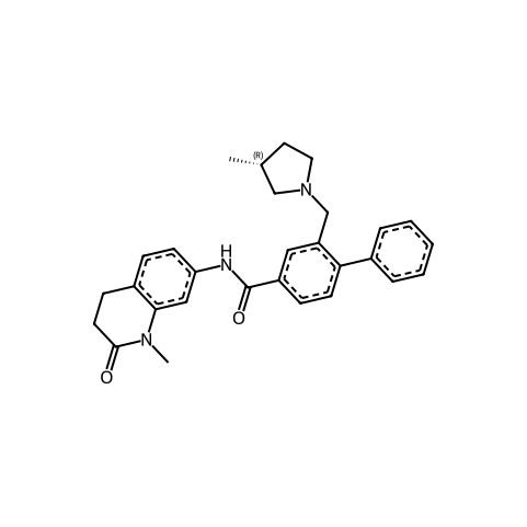 C[C@@H]1CCN(Cc2cc(C(=O)Nc3ccc4c(c3)N(C)C(=O)CC4)ccc2-c2ccccc2)C1